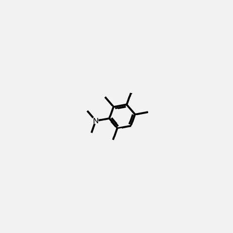 Cc1cc(C)c(N(C)C)c(C)c1C